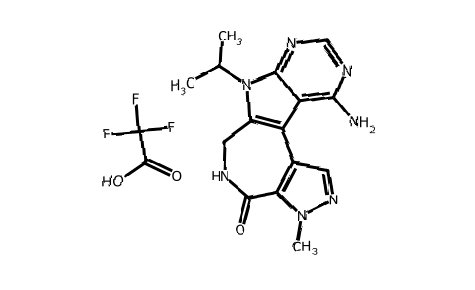 CC(C)n1c2c(c3c(N)ncnc31)-c1cnn(C)c1C(=O)NC2.O=C(O)C(F)(F)F